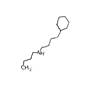 [CH2]CCCNCCCCC1CCCCC1